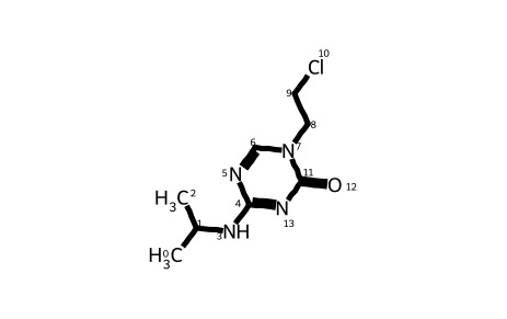 CC(C)Nc1ncn(CCCl)c(=O)n1